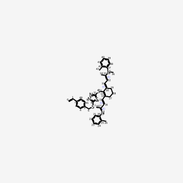 C=Cc1ccc(CSc2nnc(SC3=C(/C=C/C(C)=N/c4ccccc4C)CCC/C3=C\C=C(/C)N(C)c3ccccc3C)s2)cc1